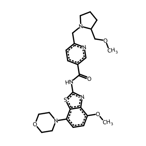 COCC1CCCN1Cc1ccc(C(=O)Nc2nc3c(OC)ccc(N4CCOCC4)c3s2)cn1